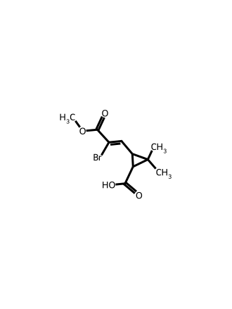 COC(=O)/C(Br)=C/C1C(C(=O)O)C1(C)C